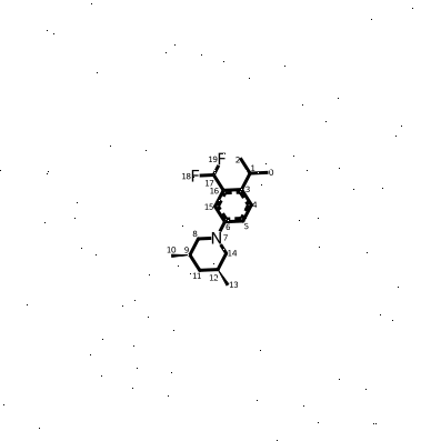 CC(C)c1ccc(N2C[C@H](C)C[C@H](C)C2)cc1C(F)F